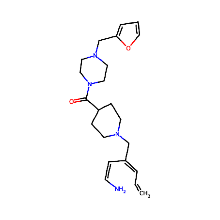 C=C/C=C(\C=C/N)CN1CCC(C(=O)N2CCN(Cc3ccco3)CC2)CC1